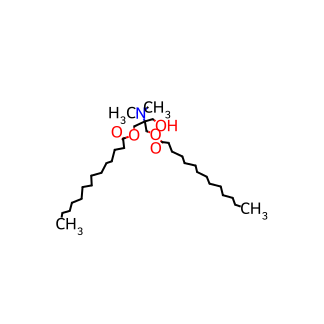 CCCCCCCCCCCCCC(=O)OCC(CO)(COC(=O)CCCCCCCCCCCCC)N(C)C